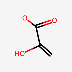 C=C(O)C([O])=O